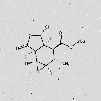 CCCCOC(=O)[C@H]1[C@H](C)[C@H]2O[C@H]2[C@H]2C(=O)O[C@H](C)[C@H]21